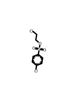 O=S(=O)(OCCCl)c1ccc(Cl)cc1